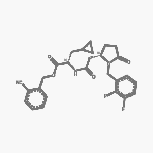 N#Cc1ccccc1COC(=O)[C@H](CC1CC1)NC(=O)C[C@@H]1CCC(=O)N1Cc1cccc(F)c1F